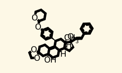 C[C@]12C[C@H](c3ccc(OC4CCCCO4)cc3)C3=C4CCC5(C[C@]4(O)CC[C@H]3[C@@H]1CC[C@]21O/C1=C\c1ccccc1)OCCO5